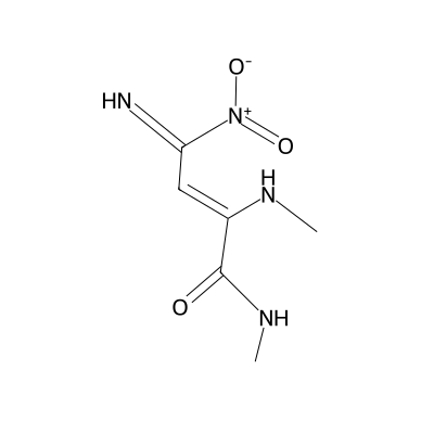 CNC(=O)/C(=C/C(=N)[N+](=O)[O-])NC